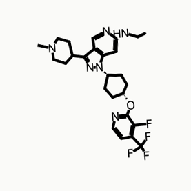 CCNc1cc2c(cn1)c(C1CCN(C)CC1)nn2[C@H]1CC[C@@H](Oc2nccc(C(F)(F)F)c2F)CC1